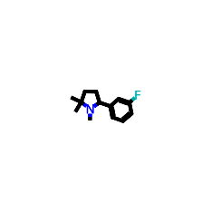 CN1C(c2cccc(F)c2)CCC1(C)C